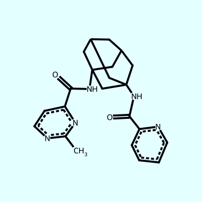 Cc1nccc(C(=O)NC23CC4CC(CC(NC(=O)c5ccccn5)(C4)C2)C3)n1